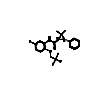 CC1(C)[C@H](C(=O)Nc2cc(F)ccc2OCC(F)(F)F)[C@H]1c1ccccc1